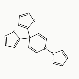 C1=CC(c2cccs2)(c2cccs2)C=CN1n1cccc1